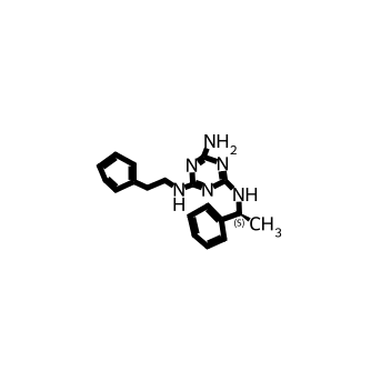 C[C@H](Nc1nc(N)nc(NCCc2ccccc2)n1)c1ccccc1